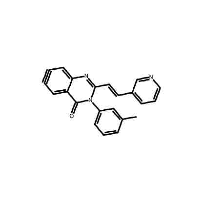 Cc1cccc(-n2c(/C=C/c3cccnc3)nc3cc#ccc3c2=O)c1